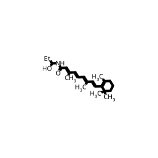 CCC(O)NC(=O)/C=C(C)/C=C/C=C(C)/C=C/C1=C(C)CCCC1(C)C